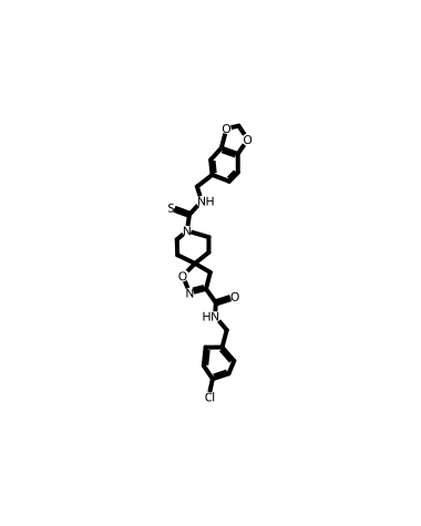 O=C(NCc1ccc(Cl)cc1)C1=NOC2(CCN(C(=S)NCc3ccc4c(c3)OCO4)CC2)C1